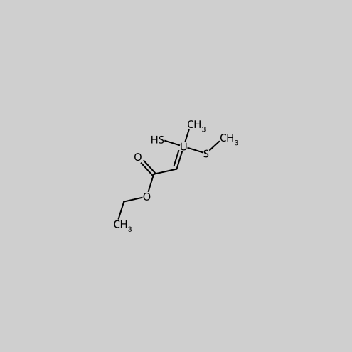 CCOC(=O)[CH]=[U]([CH3])([SH])[S]C